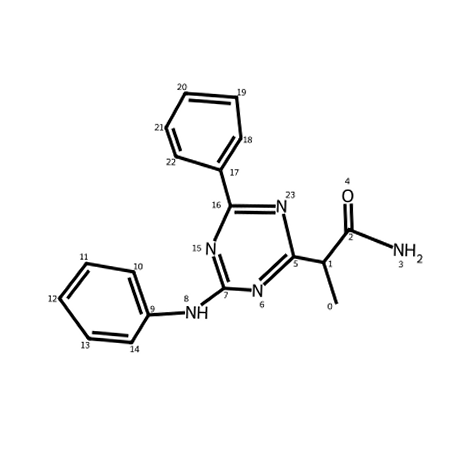 CC(C(N)=O)c1nc(Nc2ccccc2)nc(-c2ccccc2)n1